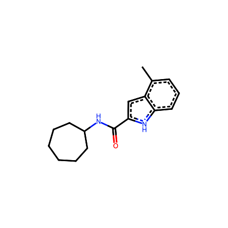 Cc1cccc2[nH]c(C(=O)NC3CCCCCC3)cc12